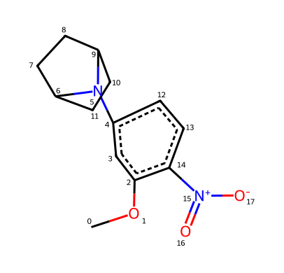 COc1cc(N2C3CCC2CC3)ccc1[N+](=O)[O-]